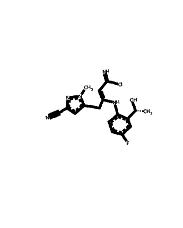 C[C@@H](O)c1cc(F)ccc1N/C(=C\C(=N)Cl)Cc1cc(C#N)nn1C